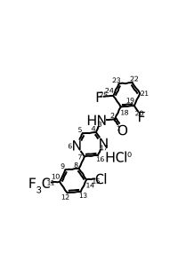 Cl.O=C(Nc1cnc(-c2cc(C(F)(F)F)ccc2Cl)cn1)c1c(F)cccc1F